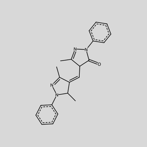 CC1=NN(c2ccccc2)C(C)/C1=C/C1C(=O)N(c2ccccc2)N=C1C